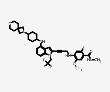 CNC(=O)c1cc(OC)c(NCC#Cc2cc3c(NC4CCC(N5CC6(CCOCC6)C5)CC4)cccc3n2CC(F)(F)F)cc1F